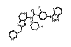 O=C(c1ccc(-n2nnc3cccnc32)cc1F)N(c1nccc2sc(Cc3cccnc3)cc12)[C@@H]1CCCNC1